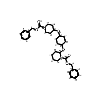 O=C(OCc1ccccc1)N1CCC(OC2CCC(OC3CCCCN3C(=O)OCc3ccccc3)CC2)CC1